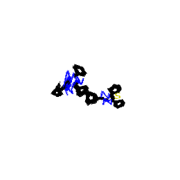 c1ccc(-c2nc(-c3ccccc3)nc(-c3ccc(-c4cccc(-c5nc(-c6ccccc6)c6sc7ccccc7c6n5)c4)cc3)n2)cc1